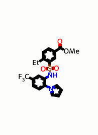 CCc1ccc(C(=O)OC)cc1S(=O)(=O)Nc1cc(C(F)(F)F)ccc1-n1cccc1